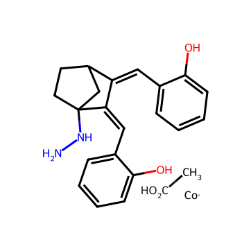 CC(=O)O.NNC12CCC(C1)C(=Cc1ccccc1O)C2=Cc1ccccc1O.[Co]